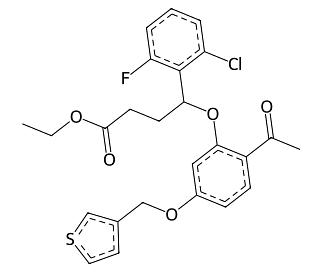 CCOC(=O)CCC(Oc1cc(OCc2ccsc2)ccc1C(C)=O)c1c(F)cccc1Cl